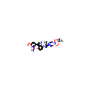 Cn1cc(C2CCC(=O)NC2=O)c2cccc(N3CC(N4CCN(C(=O)OC(C)(C)C)CC4)C3)c21